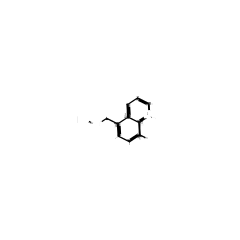 CCOCc1ccc(O)c2ncccc12